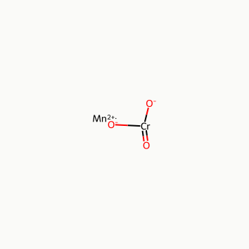 [Mn+2].[O]=[Cr]([O-])[O-]